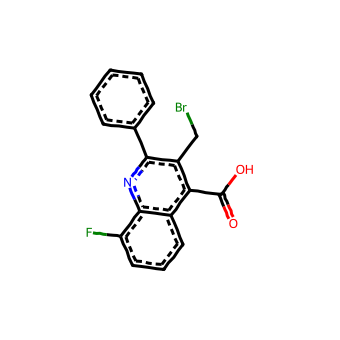 O=C(O)c1c(CBr)c(-c2ccccc2)nc2c(F)cccc12